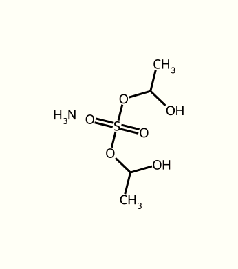 CC(O)OS(=O)(=O)OC(C)O.N